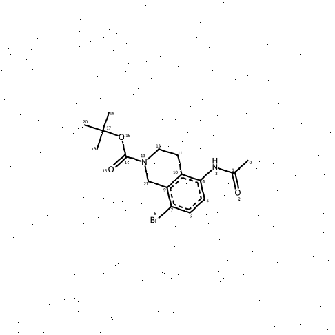 CC(=O)Nc1ccc(Br)c2c1CCN(C(=O)OC(C)(C)C)C2